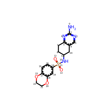 Nc1ncc2c(n1)CCC(NS(=O)(=O)c1ccc3c(c1)OCCO3)C2